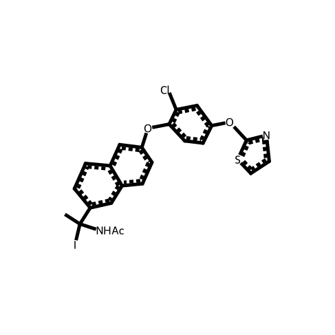 CC(=O)NC(C)(I)c1ccc2cc(Oc3ccc(Oc4nccs4)cc3Cl)ccc2c1